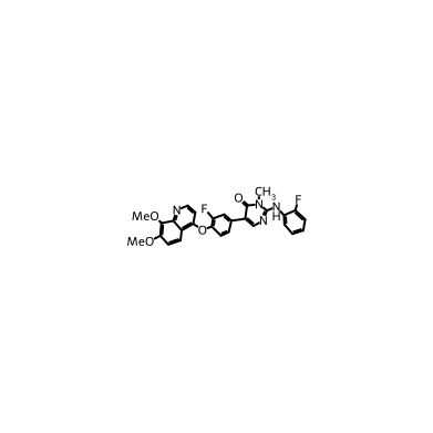 COc1ccc2c(Oc3ccc(-c4cnc(Nc5ccccc5F)n(C)c4=O)cc3F)ccnc2c1OC